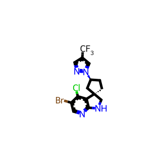 FC(F)(F)c1cnn([C@H]2CC[C@@]3(CNc4ncc(Br)c(Cl)c43)C2)c1